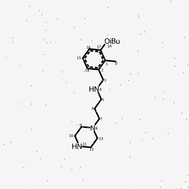 Cc1c(CNCCCN2CCNCC2)cccc1OCC(C)C